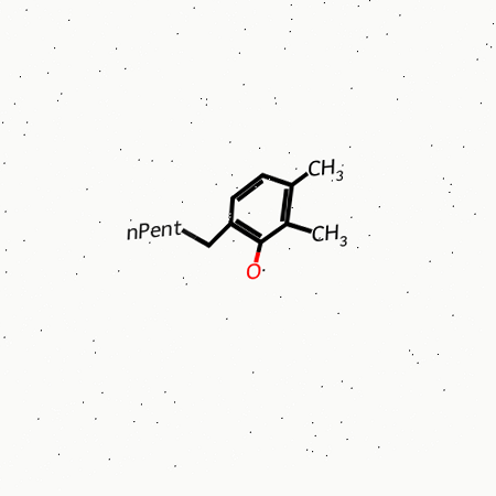 [CH2]CCCCCc1ccc(C)c(C)c1[O]